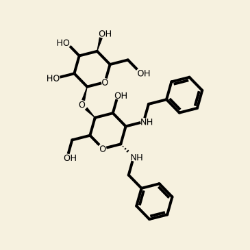 OCC1O[C@@H](O[C@@H]2C(CO)O[C@@H](NCc3ccccc3)C(NCc3ccccc3)C2O)C(O)C(O)[C@H]1O